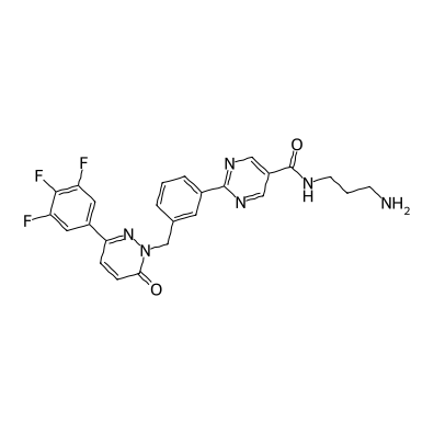 NCCCNC(=O)c1cnc(-c2cccc(Cn3nc(-c4cc(F)c(F)c(F)c4)ccc3=O)c2)nc1